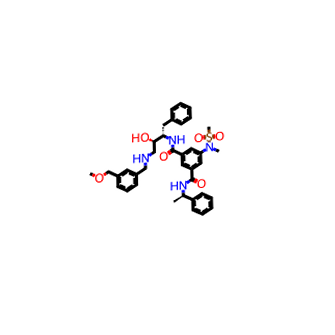 COCc1cccc(CNC[C@@H](O)[C@H](Cc2ccccc2)NC(=O)c2cc(C(=O)N[C@H](C)c3ccccc3)cc(N(C)S(C)(=O)=O)c2)c1